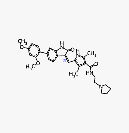 COc1ccc(-c2ccc3c(c2)NC(=O)/C3=C\c2[nH]c(C)c(C(=O)NCCN3CCCC3)c2C)c(OC)c1